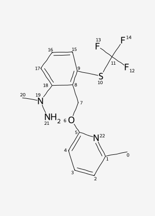 Cc1cccc(OCc2c(SC(F)(F)F)cccc2N(C)N)n1